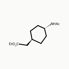 CCOC(=O)C[C@H]1CC[C@H](NC(C)=O)CC1